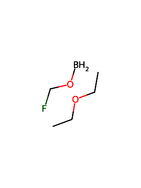 BOCF.CCOCC